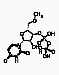 COC[C@H]1O[C@@H](n2ccc(=O)[nH]c2=O)[C@H](O)[C@@H]1OP(=O)(O)OP(=O)(O)O